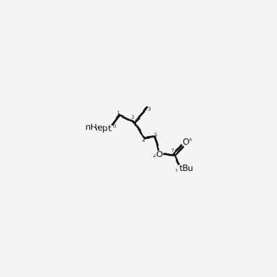 CCCCCCCCC(C)CCOC(=O)C(C)(C)C